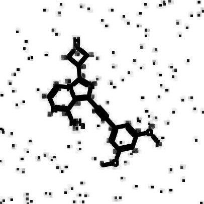 COc1cc(C#Cc2nc(C3CNC3)n3ccnc(N)c23)cc(OC)c1